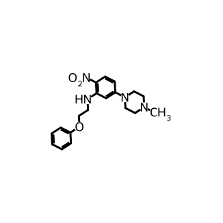 CN1CCN(c2ccc([N+](=O)[O-])c(NCCOc3ccccc3)c2)CC1